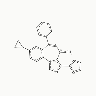 C[C@@H]1N=C(c2ccccc2)c2cc(C3CC3)ccc2-n2cnc(-c3ccco3)c21